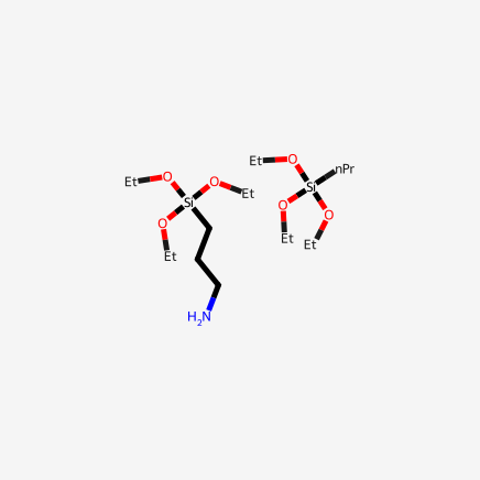 CCC[Si](OCC)(OCC)OCC.CCO[Si](CCCN)(OCC)OCC